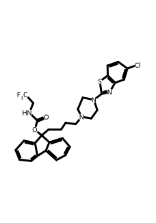 O=C(NCC(F)(F)F)OC1(CCCCN2CCN(c3nc4cc(Cl)ccc4s3)CC2)c2ccccc2-c2ccccc21